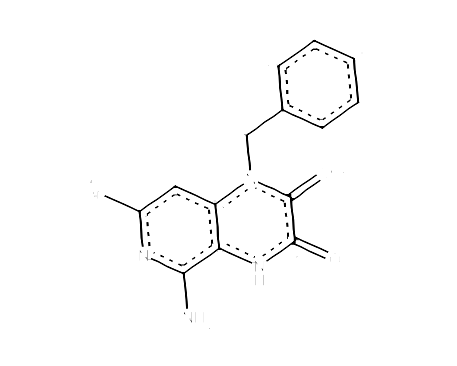 Nc1nc(Br)cc2c1[nH]c(=O)c(=O)n2Cc1ccccc1